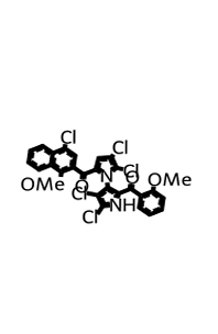 COc1ccccc1C(=O)c1[nH]c(Cl)c(Cl)c1-n1c(C(=O)c2cc(Cl)c3ccccc3c2OC)cc(Cl)c1Cl